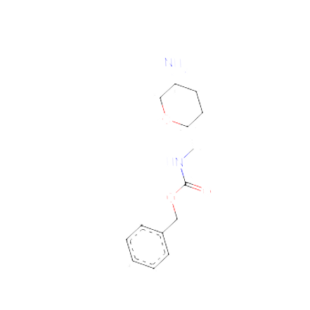 N[C@@H]1CC[C@H](CNC(=O)OCc2ccccc2)OC1